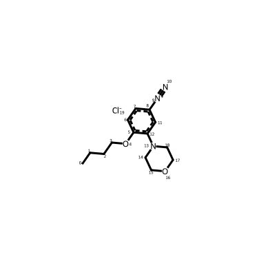 CCCCOc1ccc([N+]#N)cc1N1CCOCC1.[Cl-]